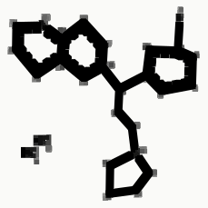 Cl.Cl.Fc1cccc(C(CCN2CCCC2)c2ccc3ncccc3c2)c1